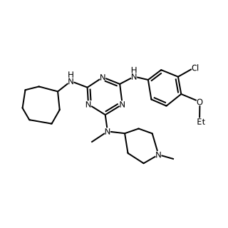 CCOc1ccc(Nc2nc(NC3CCCCCC3)nc(N(C)C3CCN(C)CC3)n2)cc1Cl